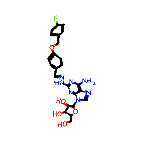 Nc1nc(N/N=C/c2ccc(OCc3ccc(F)cc3)cc2)nc2c1ncn2C1OC(CO)C(O)C1O